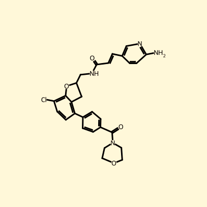 Nc1ccc(C=CC(=O)NCC2Cc3c(-c4ccc(C(=O)N5CCOCC5)cc4)ccc(Cl)c3O2)cn1